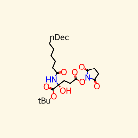 CCCCCCCCCCCCCCCC(=O)N[C@](O)(CCC(=O)ON1C(=O)CCC1=O)C(=O)OC(C)(C)C